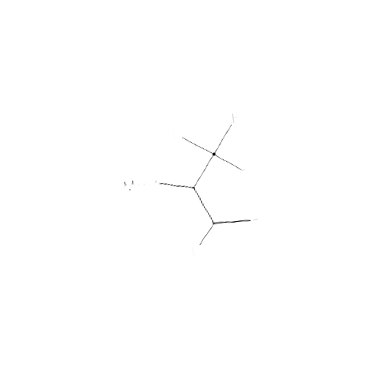 COC(C(F)F)C(F)(F)F